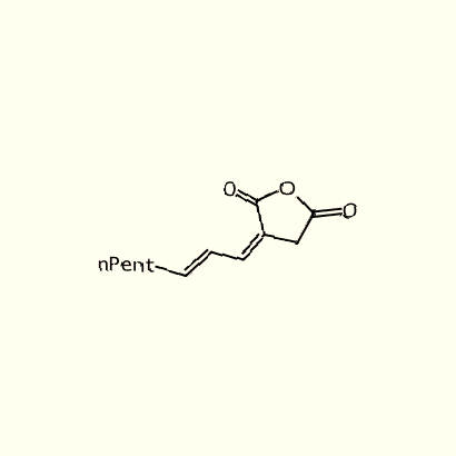 CCCCCC=CC=C1CC(=O)OC1=O